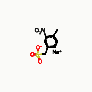 Cc1ccc(CS(=O)(=O)[O-])cc1[N+](=O)[O-].[Na+]